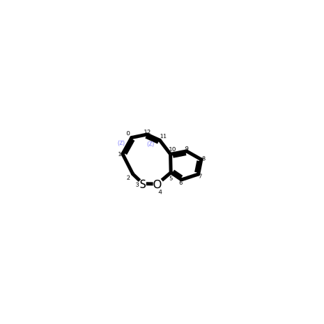 C1=C\CSOc2ccccc2\C=C/1